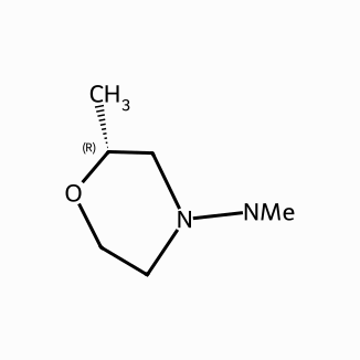 CNN1CCO[C@H](C)C1